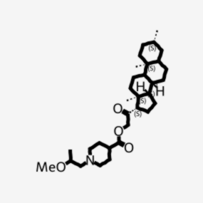 COC(C)CN1CCC(C(=O)OCC(=O)[C@H]2CC[C@H]3[C@@H]4CCC5C[C@@H](C)CC[C@]5(C)C4CC[C@]23C)CC1